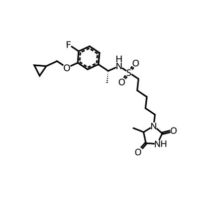 CC1C(=O)NC(=O)N1CCCCCS(=O)(=O)N[C@H](C)c1ccc(F)c(OCC2CC2)c1